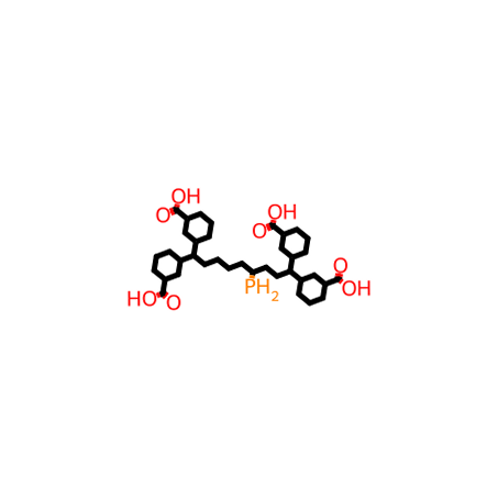 O=C(O)C1CCCC(C(CCCCC(P)CCC(C2CCCC(C(=O)O)C2)C2CCCC(C(=O)O)C2)C2CCCC(C(=O)O)C2)C1